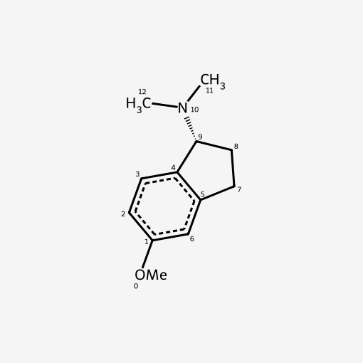 COc1ccc2c(c1)CC[C@H]2N(C)C